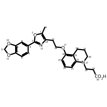 Cc1oc(-c2ccc3c(c2)OCO3)nc1CCOc1cccc2c1CCCN2CCC(=O)O